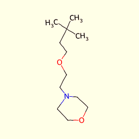 CC(C)(C)CCOCCN1CCOCC1